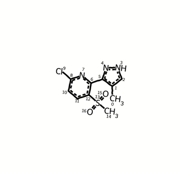 Cc1c[nH]nc1-c1nc(Cl)ccc1S(C)(=O)=O